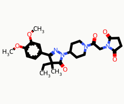 CCC1(C)C(=O)N(C2CCN(C(=O)CN3C(=O)CCC3=O)CC2)N=C1c1ccc(OC)c(OC)c1